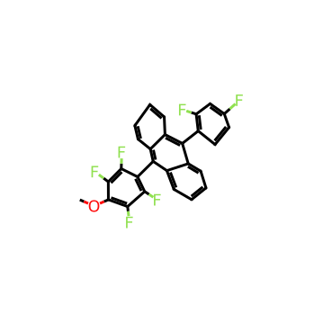 COc1c(F)c(F)c(-c2c3ccccc3c(-c3ccc(F)cc3F)c3ccccc23)c(F)c1F